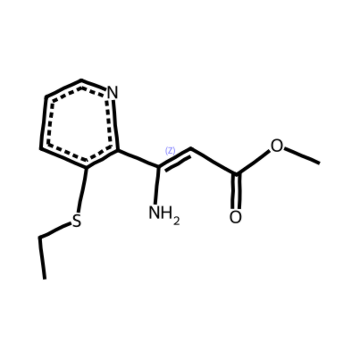 CCSc1cccnc1/C(N)=C/C(=O)OC